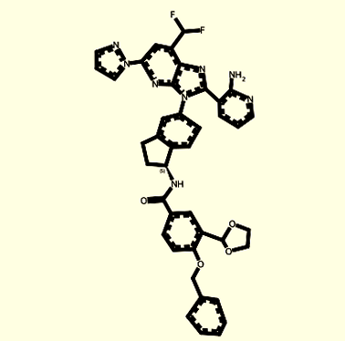 Nc1ncccc1-c1nc2c(C(F)F)cc(-n3cccn3)nc2n1-c1ccc2c(c1)CC[C@@H]2NC(=O)c1ccc(OCc2ccccc2)c(C2OCCO2)c1